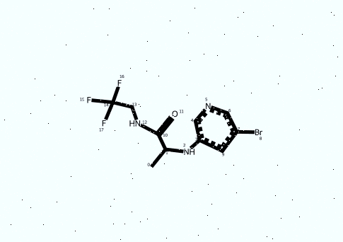 CC(Nc1cncc(Br)c1)C(=O)NCC(F)(F)F